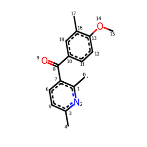 [CH2]c1nc(C)ccc1C(=O)c1ccc(OC)c(C)c1